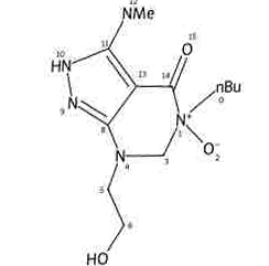 CCCC[N+]1([O-])CN(CCO)c2n[nH]c(NC)c2C1=O